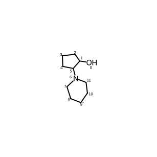 OC1CCCC1N1CC[CH]CC1